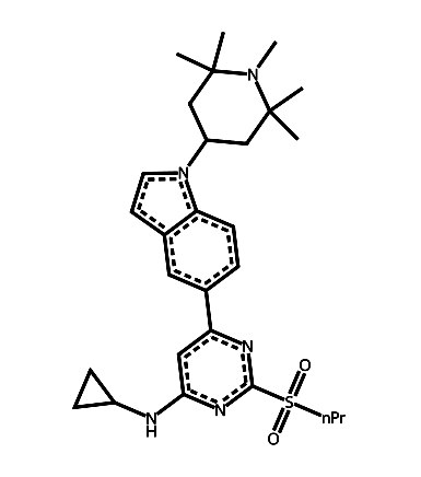 CCCS(=O)(=O)c1nc(NC2CC2)cc(-c2ccc3c(ccn3C3CC(C)(C)N(C)C(C)(C)C3)c2)n1